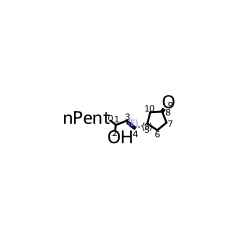 CCCCCC(O)/C=C/[C@H]1CCC(=O)C1